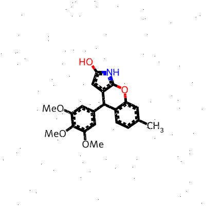 COc1cc(C2c3ccc(C)cc3Oc3[nH]c(O)cc32)cc(OC)c1OC